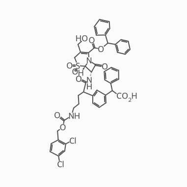 O=C(NCCCC(C(=O)N[C@H]1C(=O)N2C(C(=O)OC(c3ccccc3)c3ccccc3)=C(CO)CS(=O)(=O)[C@@H]12)c1cccc(C(C(=O)O)c2ccccc2)c1)OCc1ccc(Cl)cc1Cl